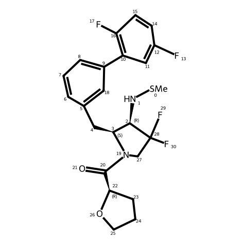 CSN[C@@H]1[C@H](Cc2cccc(-c3cc(F)ccc3F)c2)N(C(=O)[C@H]2CCCO2)CC1(F)F